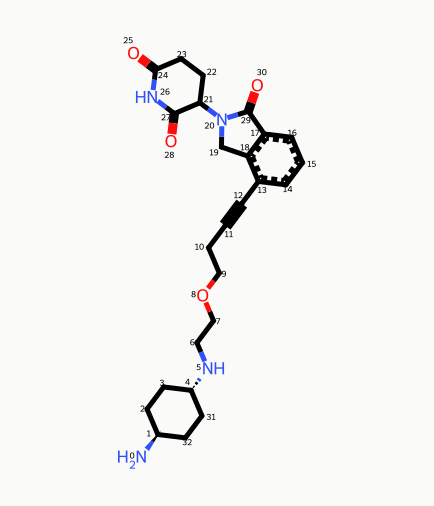 N[C@H]1CC[C@H](NCCOCCC#Cc2cccc3c2CN(C2CCC(=O)NC2=O)C3=O)CC1